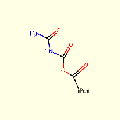 CCCCCC(=O)OC(=O)NC(N)=O